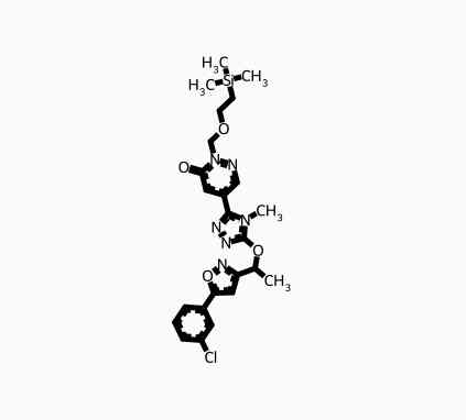 CC(Oc1nnc(-c2cnn(COCC[Si](C)(C)C)c(=O)c2)n1C)c1cc(-c2cccc(Cl)c2)on1